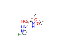 CCCC[C@H](NC(=O)OC(C)(C)C)[C@@H](O)CNc1cccc(F)n1